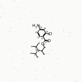 CC(C)N(C(C)C)C(C)COC(=O)c1ccc(N)cc1Cl